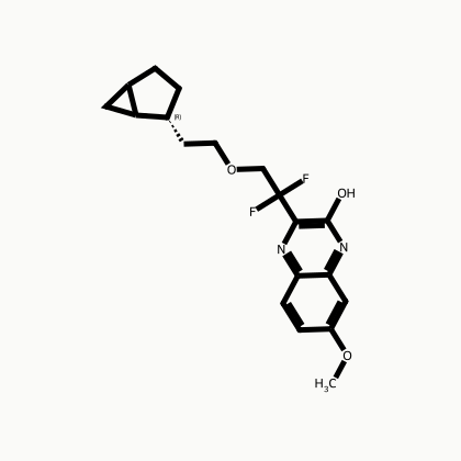 COc1ccc2nc(C(F)(F)COCC[C@H]3CCC4CC43)c(O)nc2c1